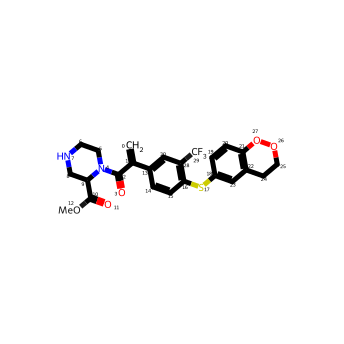 C=C(C(=O)N1CCNCC1C(=O)OC)c1ccc(Sc2ccc3c(c2)CCOO3)c(C(F)(F)F)c1